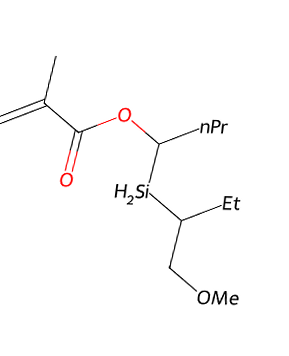 C=C(C)C(=O)OC(CCC)[SiH2]C(CC)COC